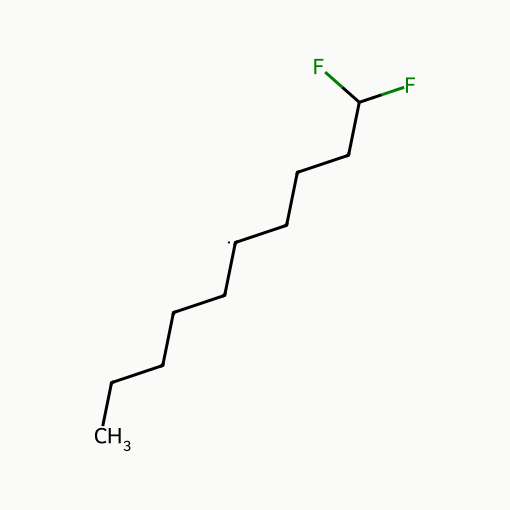 CCCCC[CH]CCCC(F)F